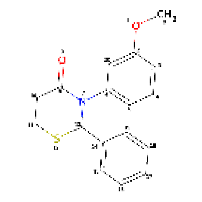 COc1cccc(N2C(=O)CCSC2c2ccccc2)c1